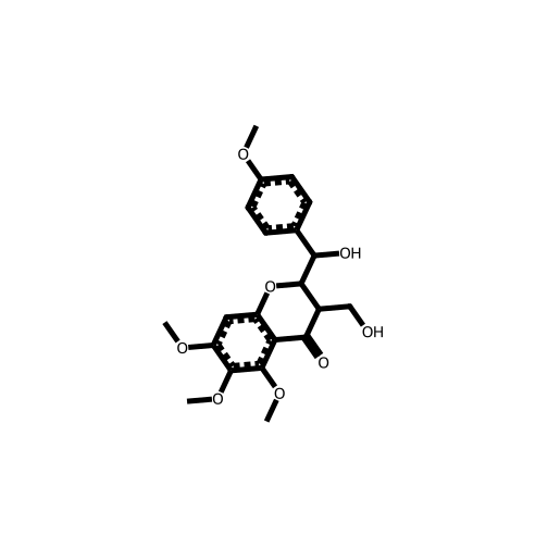 COc1ccc(C(O)C2Oc3cc(OC)c(OC)c(OC)c3C(=O)C2CO)cc1